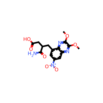 COc1nc2cc([N+](=O)[O-])cc(CC(CC(=O)O)C(N)=O)c2nc1OC